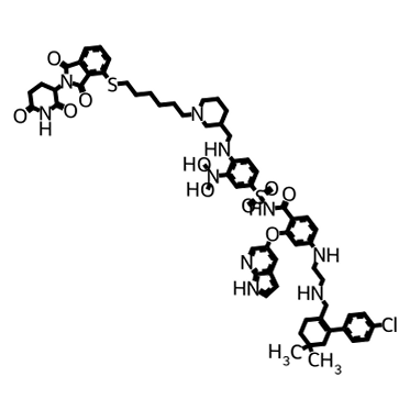 CC1(C)CCC(CNCCNc2ccc(C(=O)NS(=O)(=O)c3ccc(NCC4CCCN(CCCCCCSc5cccc6c5C(=O)N(C5CCC(=O)NC5=O)C6=O)C4)c(N(O)O)c3)c(Oc3cnc4[nH]ccc4c3)c2)=C(c2ccc(Cl)cc2)C1